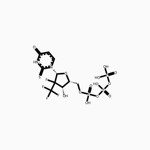 O=c1ccn([C@@H]2O[C@H](COP(=O)(O)OP(=O)(O)OP(=O)(O)O)[C@H](O)C2(F)C(F)(F)F)c(=S)[nH]1